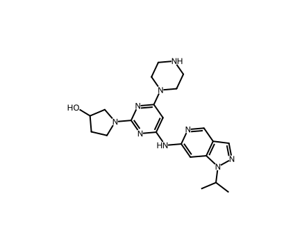 CC(C)n1ncc2cnc(Nc3cc(N4CCNCC4)nc(N4CCC(O)C4)n3)cc21